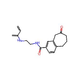 C=CC(=C)NCCNC(=O)c1ccc2c(c1)CC(=O)CCC2